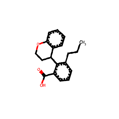 CCCc1cccc(C(=O)O)c1C1CCOc2ccccc21